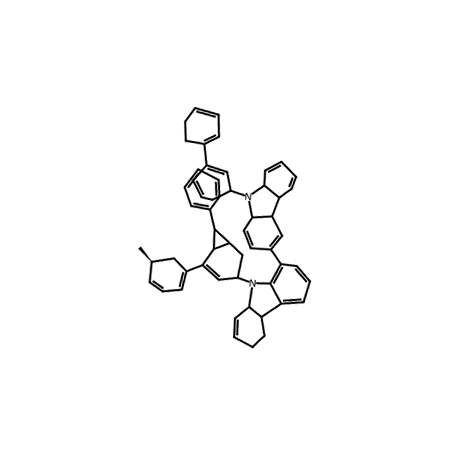 C[C@@H]1C=CC=C(C2=CC(N3c4c(C5=CC6C7C=CC=CC7N(C7C=C(C8=CC=CCC8)C=CC7)C6C=C5)cccc4C4CCC=CC43)CC3C2C3c2ccccc2)C1